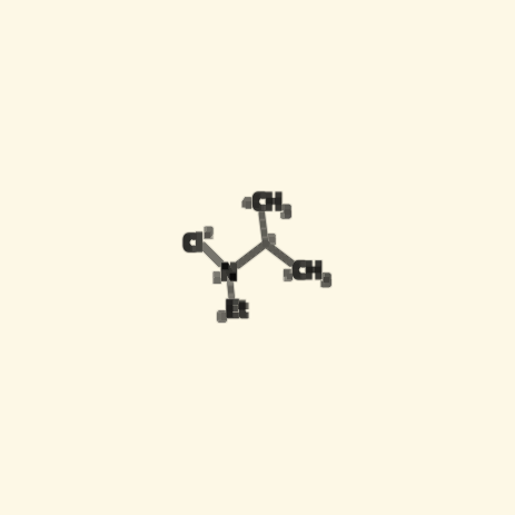 CCN(Cl)C(C)C